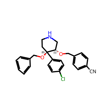 N#Cc1ccc(CO[C@H]2CNCC[C@@]2(OCc2ccccc2)c2ccc(Cl)cc2)cc1